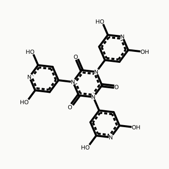 O=c1n(-c2cc(O)nc(O)c2)c(=O)n(-c2cc(O)nc(O)c2)c(=O)n1-c1cc(O)nc(O)c1